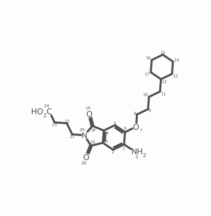 Nc1cc2c(cc1OCCCCC1CCCCC1)C(=O)N(CCCC(=O)O)C2=O